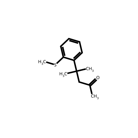 CSc1ccccc1C(C)(C)CC(C)=O